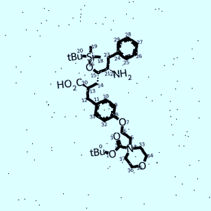 CC(C)(C)OC(=O)[N+]1(CCOc2ccc(C[C@H](C[C@H](O[Si](C)(C)C(C)(C)C)[C@@H](N)Cc3ccccc3)C(=O)O)cc2)CCOCC1